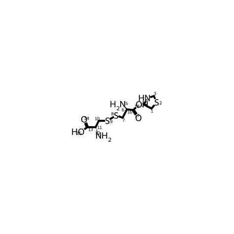 C1CSCN1.N[C@@H](CSSC[C@H](N)C(=O)O)C(=O)O